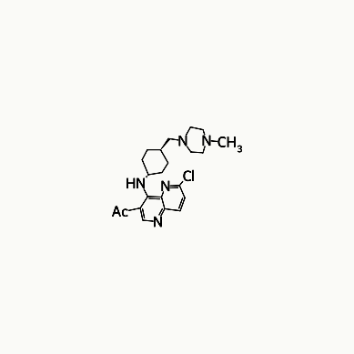 CC(=O)c1cnc2ccc(Cl)nc2c1N[C@H]1CC[C@H](CN2CCN(C)CC2)CC1